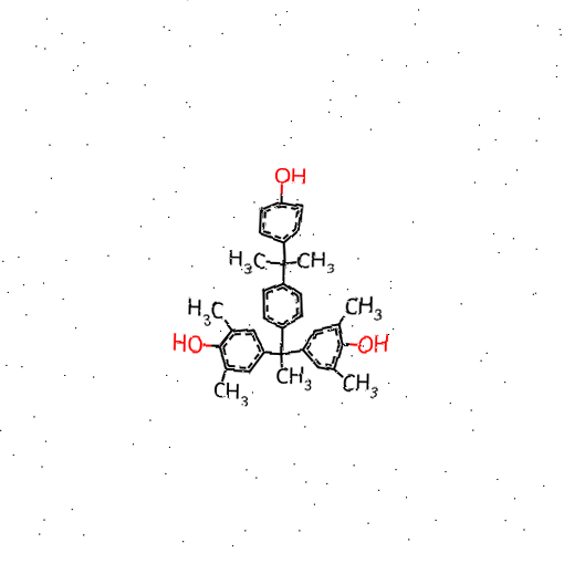 Cc1cc(C(C)(c2ccc(C(C)(C)c3ccc(O)cc3)cc2)c2cc(C)c(O)c(C)c2)cc(C)c1O